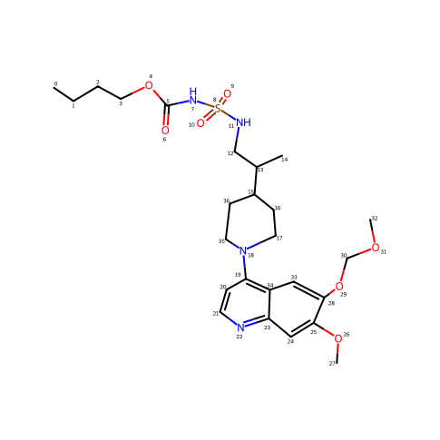 CCCCOC(=O)NS(=O)(=O)NCC(C)C1CCN(c2ccnc3cc(OC)c(OCOC)cc23)CC1